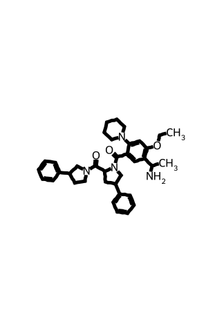 CCOc1cc(N2CCCCC2)c(C(=O)N2CC(c3ccccc3)CC2C(=O)N2CCC(c3ccccc3)C2)cc1C(C)N